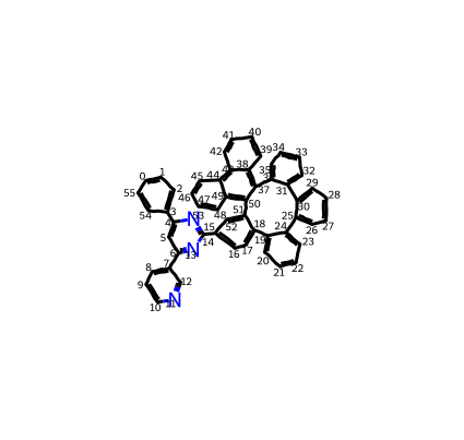 c1ccc(-c2cc(-c3cccnc3)nc(-c3ccc4c5ccccc5c5ccccc5c5ccccc5c5c6ccccc6c6ccccc6c5c4c3)n2)cc1